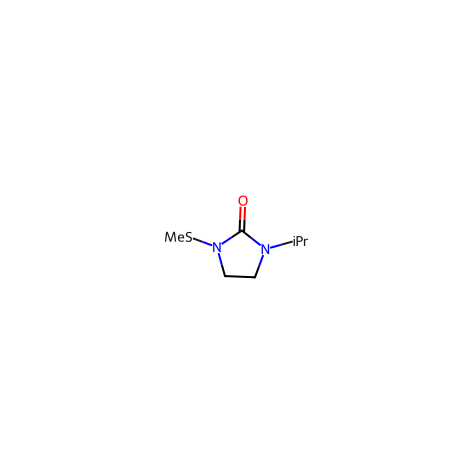 CSN1CCN(C(C)C)C1=O